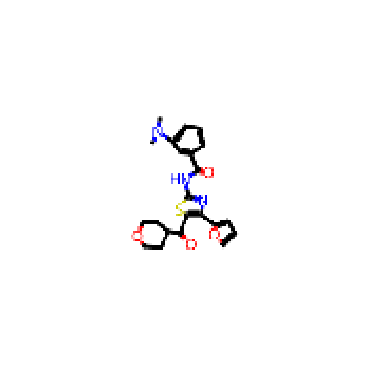 CN(C)c1cccc(C(=O)Nc2nc(-c3ccco3)c(C(=O)C3CCOCC3)s2)c1